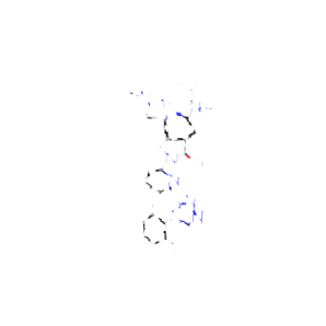 CNCc1nc(N(C)C(C)C)cc2c1CN(c1cccc(-c3nncn3-c3c(F)cccc3F)n1)C2=O